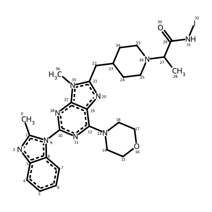 Cc1nc2ccccc2n1-c1nc(N2CCOCC2)c2nc(CC3CCN(C(C)C(=O)NI)CC3)n(C)c2n1